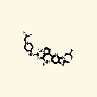 CNc1nc(NC2CCN(CC(F)F)CC2)nn2ccc(-c3ccc4nc(C)n(CC(F)F)c4n3)c12